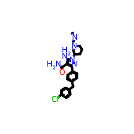 C=NCN1CCCC(n2nc(-c3ccc(Cc4ccc(Cl)cc4)cc3)c(C(N)=O)c2N)C1